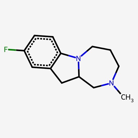 CN1CCCN2c3ccc(F)cc3CC2C1